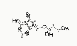 OCCC(O)OCn1cc(Br)c2c(O)ncnc21